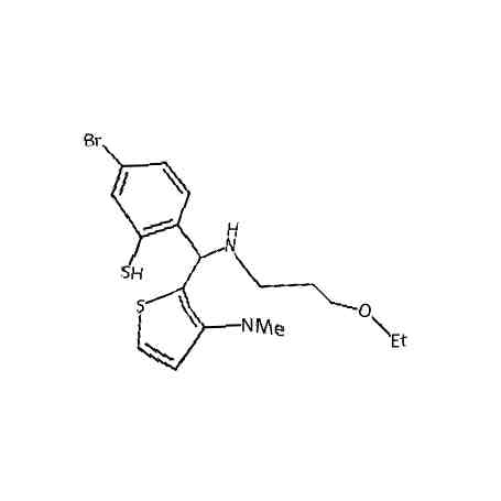 CCOCCCNC(c1ccc(Br)cc1S)c1sccc1NC